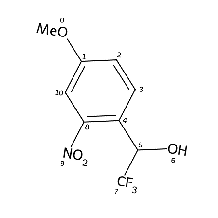 COc1ccc(C(O)C(F)(F)F)c([N+](=O)[O-])c1